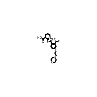 O=C(O)c1cccn2nc(-c3ccc(OCCN4CCOCC4)cc3C(F)F)nc12